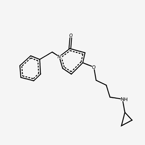 O=c1cc(OCCCNC2CC2)ccn1Cc1ccccc1